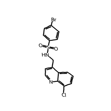 O=S(=O)(NCc1ccnc2c(Cl)cccc12)c1ccc(Br)cc1